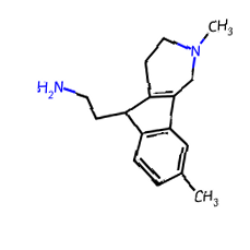 Cc1ccc2c(c1)C1=C(CCN(C)C1)C2CCN